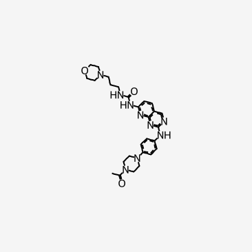 CC(=O)N1CCN(c2ccc(Nc3ncc4ccc(NC(=O)NCCCN5CCOCC5)nc4n3)cc2)CC1